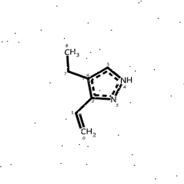 C=Cc1n[nH]cc1CC